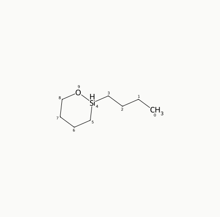 CCCC[SiH]1CCCCO1